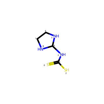 S=C(S)NC1NCCN1